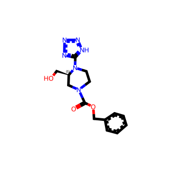 O=C(OCc1ccccc1)N1CCN(c2nnn[nH]2)[C@H](CO)C1